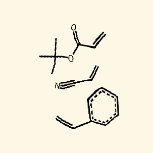 C=CC#N.C=CC(=O)OC(C)(C)C.C=Cc1ccccc1